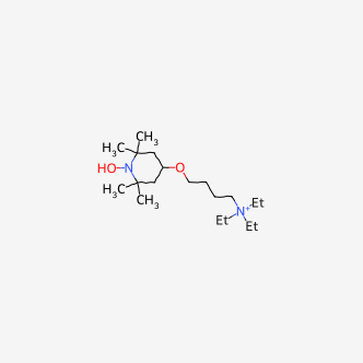 CC[N+](CC)(CC)CCCCOC1CC(C)(C)N(O)C(C)(C)C1